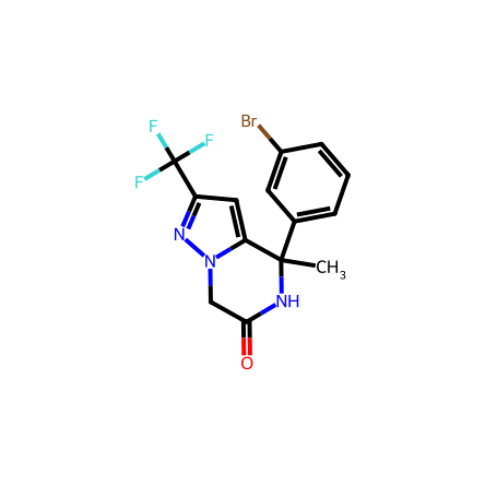 CC1(c2cccc(Br)c2)NC(=O)Cn2nc(C(F)(F)F)cc21